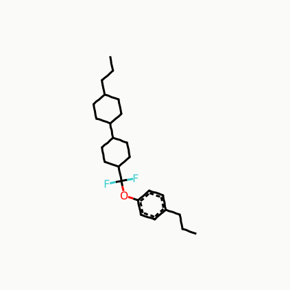 CCCc1ccc(OC(F)(F)C2CCC(C3CCC(CCC)CC3)CC2)cc1